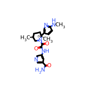 CNc1ccc([C@]2(C)CC[C@H](C)CN2C(=O)C(=O)Nc2cncc(C(N)=O)c2)cn1